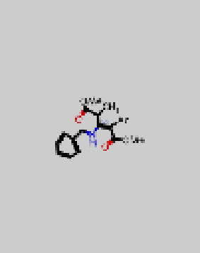 COC(=O)/C(C(C)=O)=C(\NCc1ccccc1)C(C)C(=O)OC